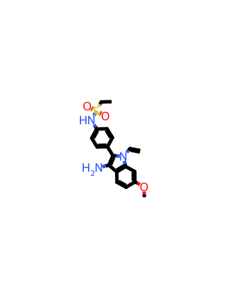 C=Cn1c(-c2ccc(NS(=O)(=O)CC)cc2)c(N)c2ccc(OC)cc21